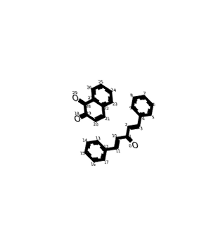 O=C(C=Cc1ccccc1)C=Cc1ccccc1.O=C1C=Cc2ccccc2C1=O